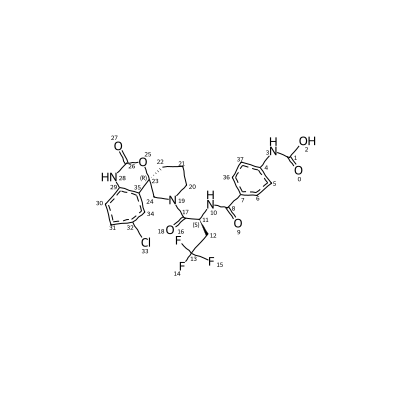 O=C(O)Nc1ccc(C(=O)N[C@@H](CC(F)(F)F)C(=O)N2CCC[C@@]3(C2)OC(=O)Nc2ccc(Cl)cc23)cc1